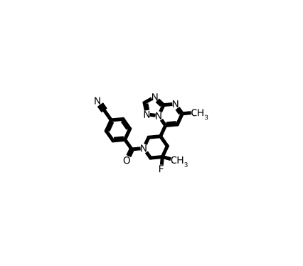 Cc1cc(C2CN(C(=O)c3ccc(C#N)cc3)CC(C)(F)C2)n2ncnc2n1